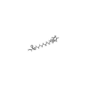 C=CC(=O)OCCCCCCCCCC[SH]1C=CC=C1